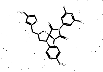 Cc1ccc([C@H]2CN(Cc3cc(C(=O)O)cs3)C[C@@]23C(=O)N(c2cc(Cl)cc(Cl)c2)C(=O)C3C)cc1